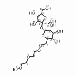 CCOCCOCCOOC[C@H]1O[C@H](O[C@]2(CO)O[C@H](CO)[C@@H](O)[C@@H]2O)[C@H](O)[C@@H](O)[C@@H]1O